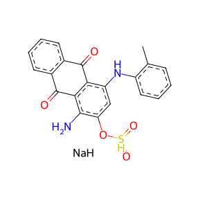 Cc1ccccc1Nc1cc(O[SH](=O)=O)c(N)c2c1C(=O)c1ccccc1C2=O.[NaH]